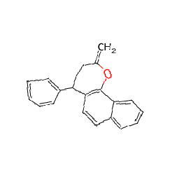 C=C1CC(c2ccccc2)c2ccc3ccccc3c2O1